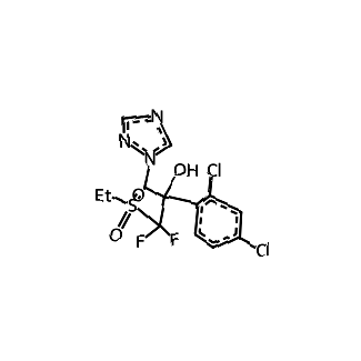 CCS(=O)(=O)C(F)(F)C(O)(Cn1cncn1)c1ccc(Cl)cc1Cl